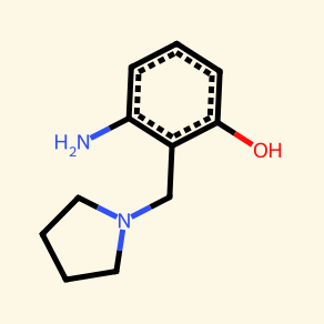 Nc1cccc(O)c1CN1CCCC1